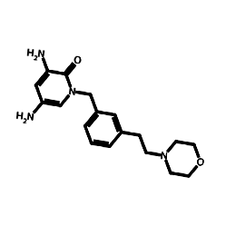 Nc1cc(N)c(=O)n(Cc2cccc(CCN3CCOCC3)c2)c1